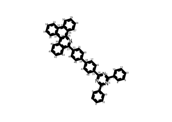 c1ccc(-c2nc(-c3ccccc3)nc(-c3ccc(-c4ccc(-c5nc6c7ccccc7c7ccccc7c6c6ccccc56)cc4)cc3)n2)cc1